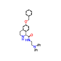 CC(C)N(CCNC(=O)C1NCCc2cc(OCc3ccccc3)ccc21)C(C)C